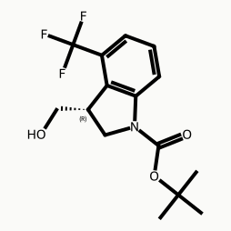 CC(C)(C)OC(=O)N1C[C@H](CO)c2c1cccc2C(F)(F)F